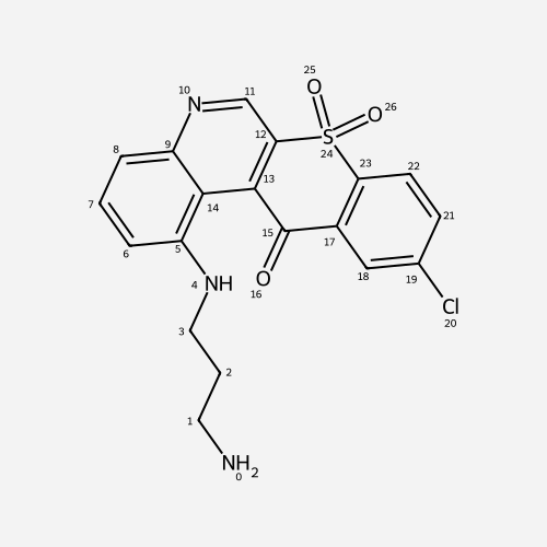 NCCCNc1cccc2ncc3c(c12)C(=O)c1cc(Cl)ccc1S3(=O)=O